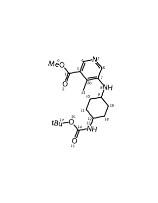 COC(=O)c1cncc(NC2CCC(NC(=O)OC(C)(C)C)CC2)c1C